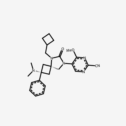 COc1nc(C#N)ncc1N1C[C@]2(C[C@@](c3ccccc3)(N(C)C)C2)N(CC2CCC2)C1=O